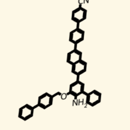 N#Cc1ccc(-c2ccc(-c3ccc4cc(-c5cc(OCc6ccc(-c7ccccc7)cc6)c(N)c(-c6ccccc6)c5)ccc4c3)cc2)cc1